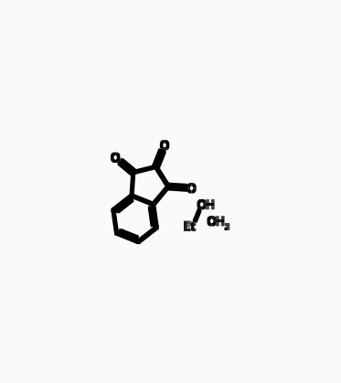 CCO.O.O=c1c(=O)c2ccccc2c1=O